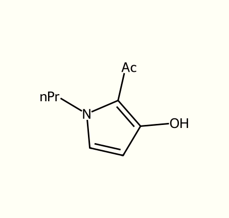 CCCn1ccc(O)c1C(C)=O